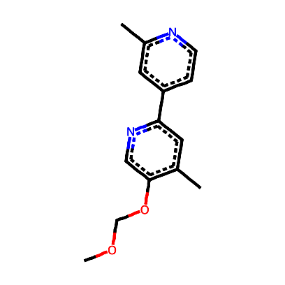 COCOc1cnc(-c2ccnc(C)c2)cc1C